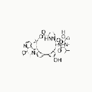 CCn1c(-c2cccnc2[C@H](C)OC)c2c3cc(ccc31)-c1cc(O)cc(c1)C[C@H](NC(=O)[C@H](C(C)C)N(C)C(=O)C1(O)CC1)C(=O)N1CCC[C@@](C)(N1)C(=O)OCC(C)(C)C2